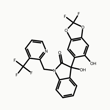 O=C1N(Cc2ncccc2C(F)(F)F)c2ccccc2C1(O)c1cc2c(cc1O)OC(F)(F)O2